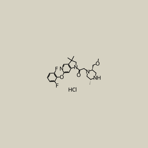 COC[C@H]1CN[C@H](C)CN1CC(=O)N1CC(C)(C)c2cnc(Oc3c(F)cccc3F)cc21.Cl